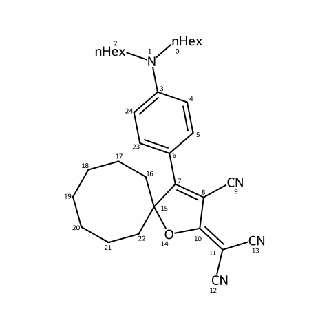 CCCCCCN(CCCCCC)c1ccc(C2=C(C#N)C(=C(C#N)C#N)OC23CCCCCCC3)cc1